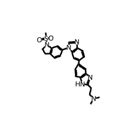 CN(C)CCc1nc2cc(-c3ccc4ncn(-c5ccc6c(c5)N(S(C)(=O)=O)CC6)c4c3)ccc2[nH]1